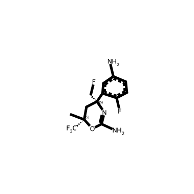 C[C@@]1(C(F)(F)F)C[C@@](CF)(c2cc(N)ccc2F)N=C(N)O1